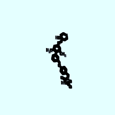 Cc1cc(OCC2(O)CCSCC2)cc(C)c1-c1cccc(COc2ccc(Cn3oc(=O)[nH]c3=O)cc2)c1